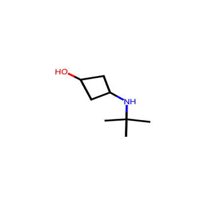 CC(C)(C)NC1CC(O)C1